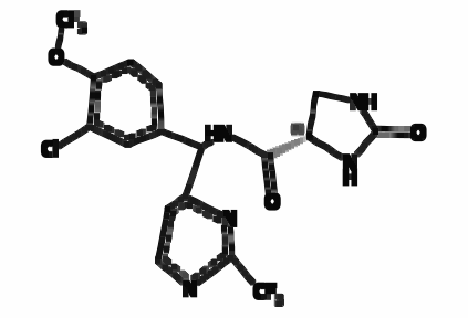 O=C1NC[C@@H](C(=O)NC(c2ccc(OC(F)(F)F)c(Cl)c2)c2ccnc(C(F)(F)F)n2)N1